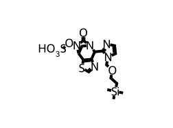 C[Si](C)(C)CCOCn1ccnc1C1c2ncsc2C2CN1C(=O)N2OS(=O)(=O)O